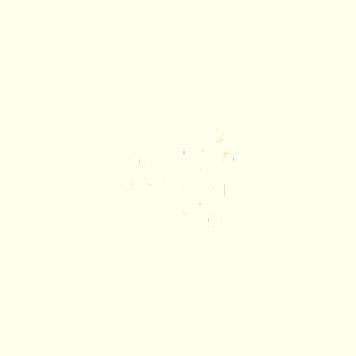 CS(=O)(=O)c1ccc(-c2cc3c(cc2-c2ccc(Cl)c(Cl)c2)OCO3)cc1